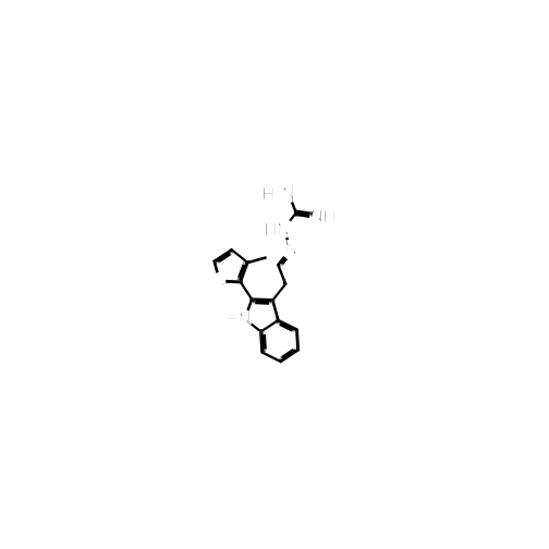 Cc1ccsc1-c1[nH]c2ccccc2c1CC=NNC(=N)N